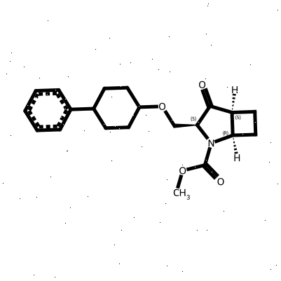 COC(=O)N1[C@@H]2CC[C@@H]2C(=O)[C@@H]1COC1CCC(c2ccccc2)CC1